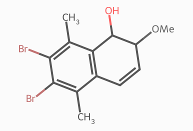 COC1C=Cc2c(C)c(Br)c(Br)c(C)c2C1O